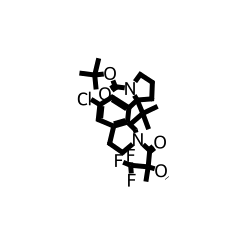 COC(C)(C(=O)N1CCc2cc(Cl)cc(C3(C(C)(C)C)CCCN3C(=O)OC(C)(C)C)c2C1)C(F)(F)F